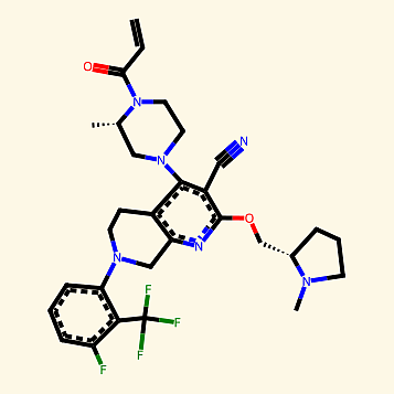 C=CC(=O)N1CCN(c2c(C#N)c(OC[C@@H]3CCCN3C)nc3c2CCN(c2cccc(F)c2C(F)(F)F)C3)C[C@@H]1C